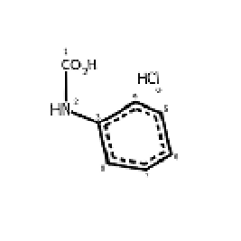 Cl.O=C(O)Nc1ccccc1